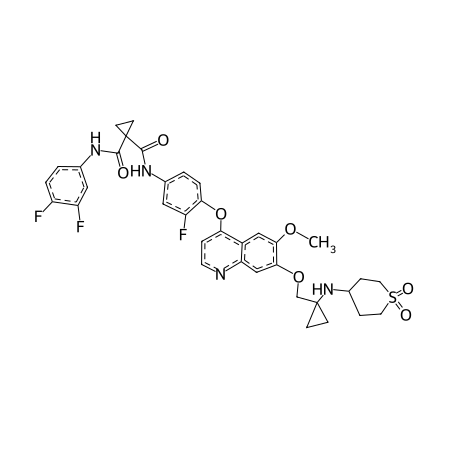 COc1cc2c(Oc3ccc(NC(=O)C4(C(=O)Nc5ccc(F)c(F)c5)CC4)cc3F)ccnc2cc1OCC1(NC2CCS(=O)(=O)CC2)CC1